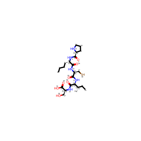 CCCC[C@H](NC(=O)[C@@H]1CCCN1)C(=O)N[C@@H](CS)C(=O)N[C@H](C(=O)N[C@@H](CO)C(=O)O)[C@@H](C)CC